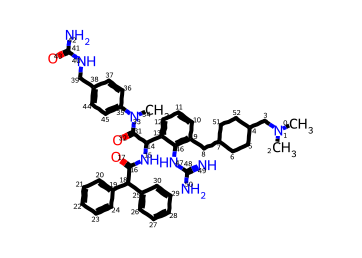 CN(C)CC1CCC(Cc2cccc(C(NC(=O)C(c3ccccc3)c3ccccc3)C(=O)N(C)c3ccc(CNC(N)=O)cc3)c2NC(=N)N)CC1